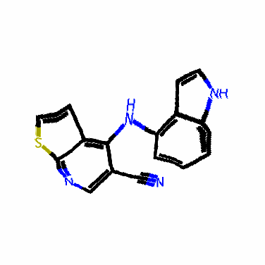 N#Cc1cnc2sccc2c1Nc1cccc2[nH]ccc12